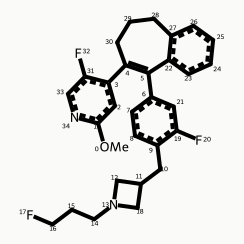 COc1cc(C2=C(c3ccc(CC4CN(CCCF)C4)c(F)c3)c3ccccc3CCC2)c(F)cn1